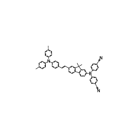 Cc1ccc(N(c2ccc(C)cc2)c2ccc(/C=C/c3ccc4c(c3)C(C)(C)c3cc(B(c5ccc(C#N)cc5)c5ccc(C#N)cc5)ccc3-4)cc2)cc1